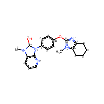 CCN1c2cccnc2N(c2ccc(Oc3nc4c(n3C)CCCC4)cc2)C1O